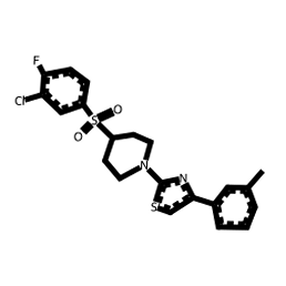 Cc1cccc(-c2csc(N3CCC(S(=O)(=O)c4ccc(F)c(Cl)c4)CC3)n2)c1